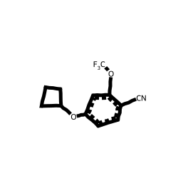 N#Cc1ccc(OC2CCC2)cc1OC(F)(F)F